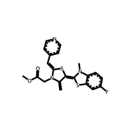 C=C1/C(=C2\Sc3cc(F)ccc3N2C)S/C(=C\c2ccncc2)N1CC(=O)OC